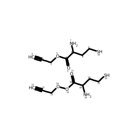 C#CCOC(=O)C(N)CCS.C#CCOOC(=O)C(N)CCS